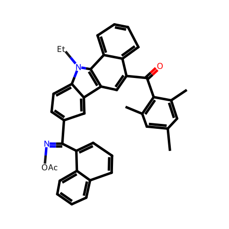 CCn1c2ccc(/C(=N/OC(C)=O)c3cccc4ccccc34)cc2c2cc(C(=O)c3c(C)cc(C)cc3C)c3ccccc3c21